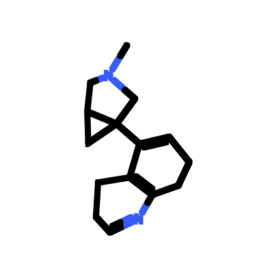 CN1CC2CC2(C2=CCCC3=C2CCC=N3)C1